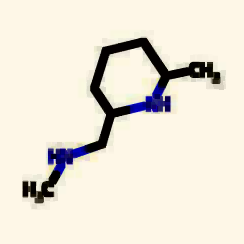 CNCC1CCCC(C)N1